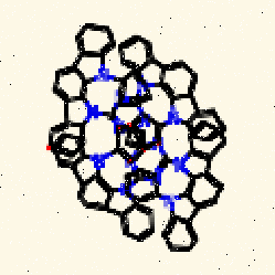 C1=Cc2c(c3ccc4c5ccccc5n(-c5ccccc5)c4c3n2-c2nc(-c3nc(-n4c5ccccc5c5ccc6c7ccccc7n(-c7ccccc7)c6c54)nc(-n4c5ccccc5c5ccc6c7ccccc7n(-c7ccccc7)c6c54)n3)nc(-n3c4ccccc4c4ccc5c6ccccc6n(-c6ccccc6)c5c43)n2)CC1